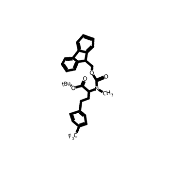 CN(C(=O)OCC1c2ccccc2-c2ccccc21)C(CCc1ccc(C(F)(F)F)cc1)C(=O)OC(C)(C)C